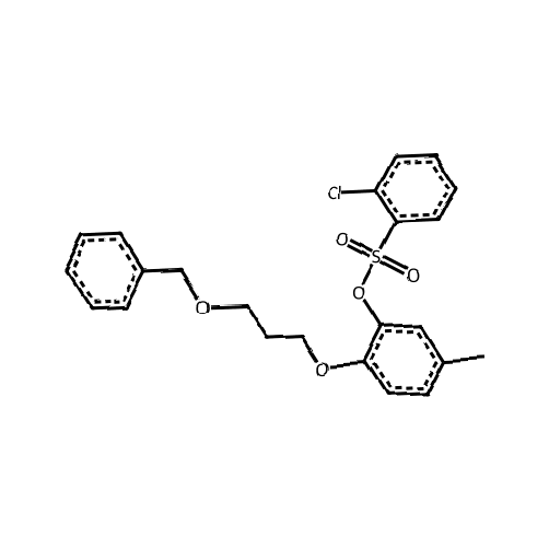 Cc1ccc(OCCCOCc2ccccc2)c(OS(=O)(=O)c2ccccc2Cl)c1